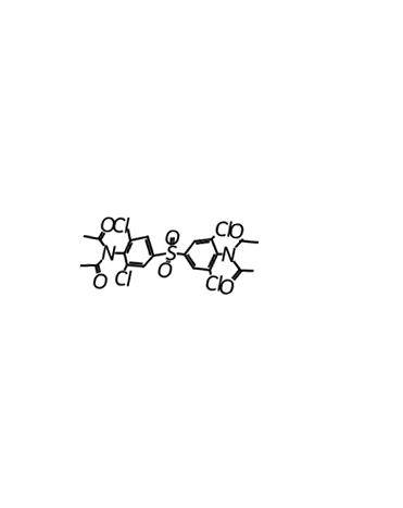 CC(=O)N(C(C)=O)c1c(Cl)cc(S(=O)(=O)c2cc(Cl)c(N(C(C)=O)C(C)=O)c(Cl)c2)cc1Cl